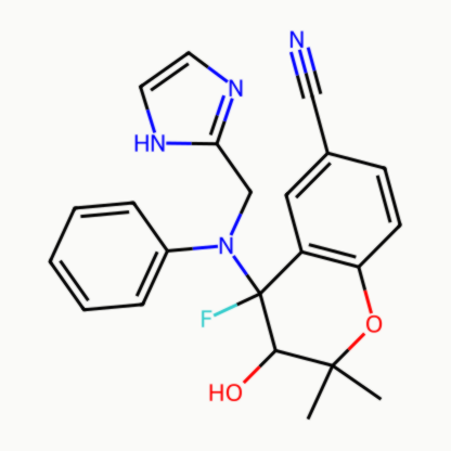 CC1(C)Oc2ccc(C#N)cc2C(F)(N(Cc2ncc[nH]2)c2ccccc2)C1O